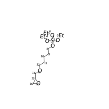 CCO[Si](OCC)(OCC)OCCCCCOCC1CO1